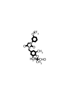 Cc1cc(CN2C(=O)CN(c3cccc(OC(F)(F)F)c3)C2=O)cc(C)c1OC(C)(C)C=O